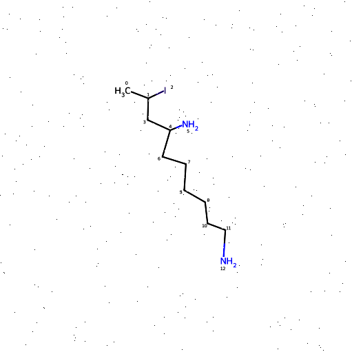 CC(I)CC(N)CCCCCCN